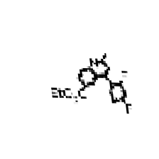 CCOC(=O)c1ccc2nc(C)cc(-c3ccc(F)cc3F)c2c1